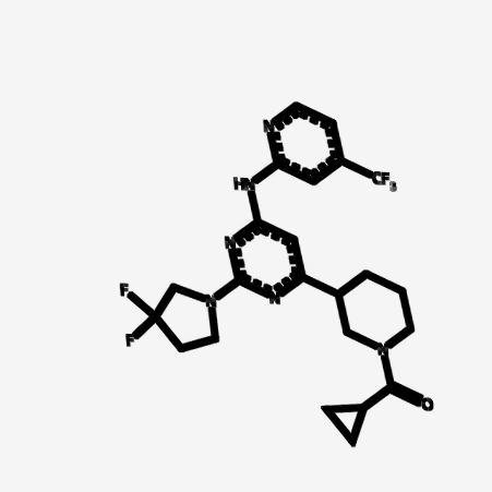 O=C(C1CC1)N1CCCC(c2cc(Nc3cc(C(F)(F)F)ccn3)nc(N3CCC(F)(F)C3)n2)C1